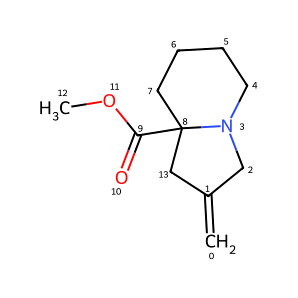 C=C1CN2CCCCC2(C(=O)OC)C1